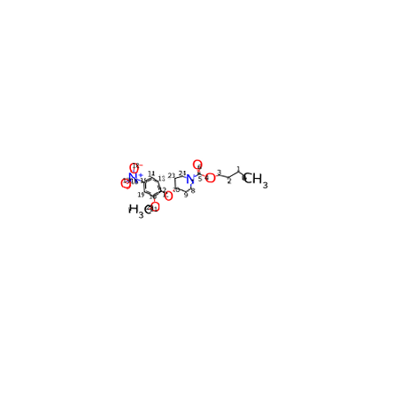 CCCCOC(=O)N1CCC(Oc2ccc([N+](=O)[O-])cc2OC)CC1